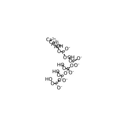 [Al+3].[Al+3].[Ca+2].[Ca+2].[O-]P([O-])OO.[O-]P([O-])OO.[O-]P([O-])OO.[O-]P([O-])OO.[O-]P([O-])OO